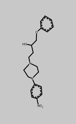 O=[N+]([O-])c1ccc(N2CCN(CCC(O)COc3ccccc3)CC2)cc1